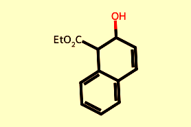 CCOC(=O)C1c2ccccc2C=CC1O